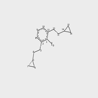 Ic1c(CCC2CC2)cccc1CCC1CC1